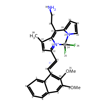 COc1cc2ccccc2c(/C=C/C2=[N+]3C(=C(CCN)c4cccn4[B-]3(F)F)C(C)=C2)c1OC